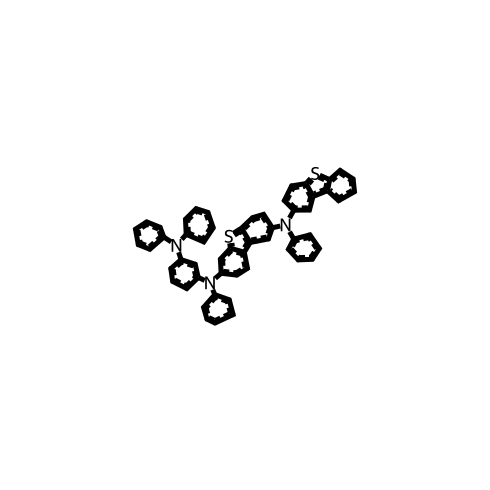 c1ccc(N(c2ccccc2)c2cccc(N(c3ccccc3)c3ccc4c(c3)sc3ccc(N(c5ccccc5)c5ccc6sc7ccccc7c6c5)cc34)c2)cc1